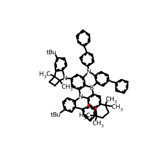 CC(C)(C)c1ccc(N2c3cc4c(cc3B3c5cc(-c6ccccc6)ccc5N(c5ccc(-c6ccccc6)cc5)c5cc(N6c7ccc(C(C)(C)C)cc7C7(C)CCC67C)cc2c53)C(C)(C)CCC4(C)C)c(-c2ccccc2)c1